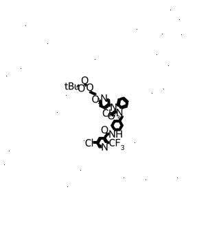 Cc1cc(OCCOC(=O)OC(C)(C)C)ncc1-n1c(=O)n(CC2CCC(NC(=O)c3cc(Cl)cnc3C(F)(F)F)CC2)c2ccccc21